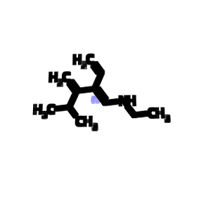 C=C/C(=C\NCC)C(=C)C(C)C